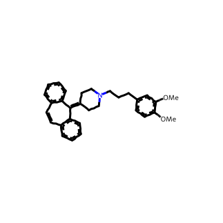 COc1ccc(CCCN2CCC(=C3c4ccccc4C=Cc4ccccc43)CC2)cc1OC